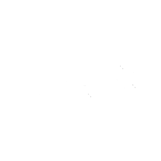 Cn1c(Cl)nc2cc(NC(=O)COc3ccc(C(F)(F)F)cc3)ccc21